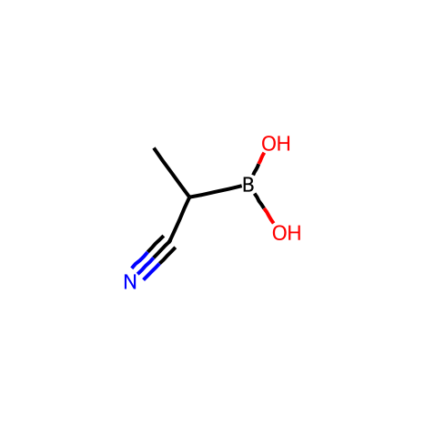 CC(C#N)B(O)O